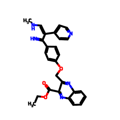 CCOC(=O)c1nc2ccccc2nc1COc1ccc(C(=N)/C(=C\NC)c2ccncc2)cc1